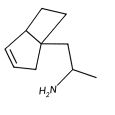 CC(N)CC12CC=CC1CC2